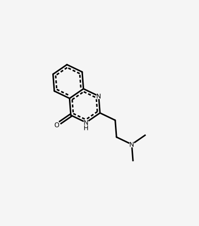 CN(C)CCc1nc2ccccc2c(=O)[nH]1